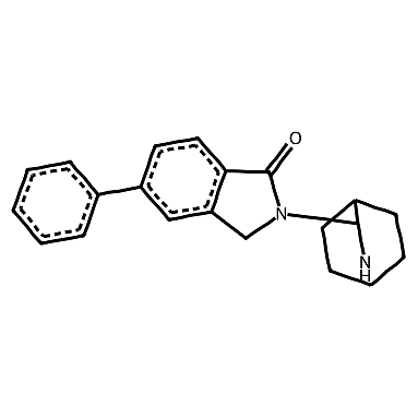 O=C1c2ccc(-c3ccccc3)cc2CN1C1NC2CCC1CC2